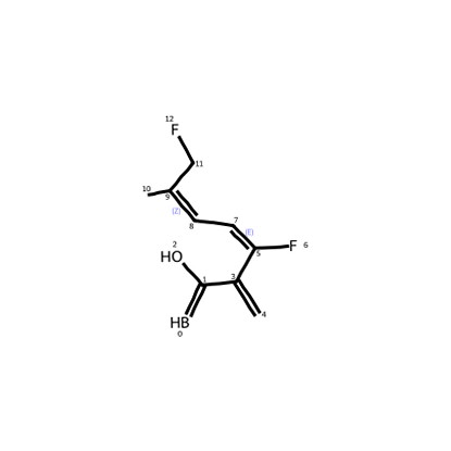 B=C(O)C(=C)/C(F)=C\C=C(\C)CF